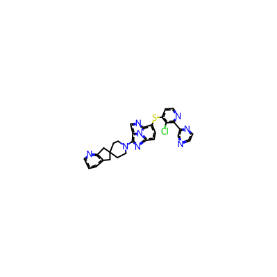 Clc1c(Sc2ccc3nc(N4CCC5(CC4)Cc4cccnc4C5)c4cnc2n34)ccnc1-c1cnccn1